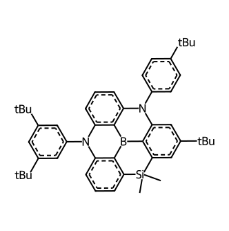 CC(C)(C)c1ccc(N2c3cccc4c3B3c5c(cccc5[Si](C)(C)c5cc(C(C)(C)C)cc2c53)N4c2cc(C(C)(C)C)cc(C(C)(C)C)c2)cc1